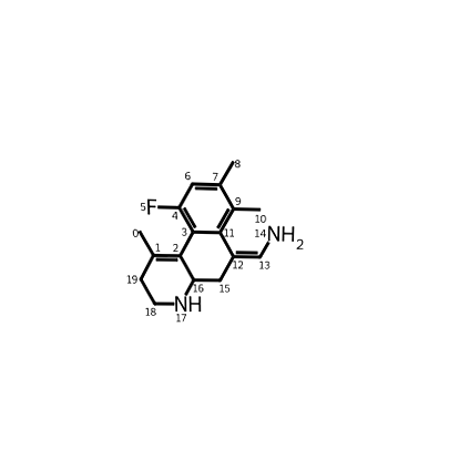 CC1=C2c3c(F)cc(C)c(C)c3/C(=C\N)CC2NCC1